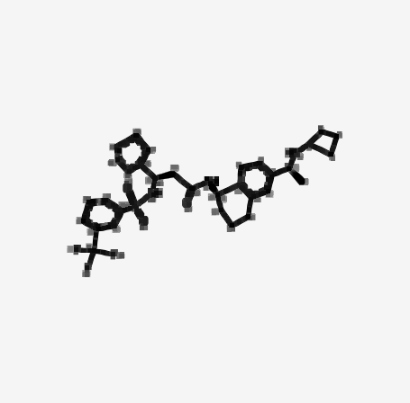 C[C@H](NC1CCC1)c1ccc2c(c1)CCC[C@H]2NC(=O)C[C@@H](NS(=O)(=O)c1cccc(C(F)(F)F)c1)c1ccccc1